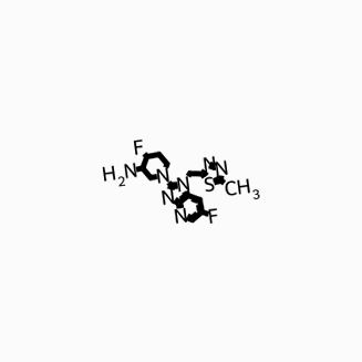 Cc1nnc(Cn2c(N3CCC(F)C(N)C3)nc3ncc(F)cc32)s1